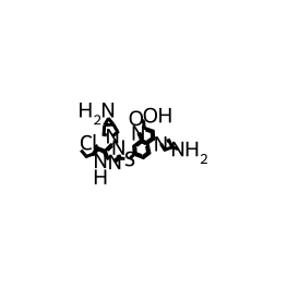 CCc1[nH]c2nc(Sc3ccc4c(N5CC(N)C5)cc(C(=O)O)nc4c3)nc(N3CC4C(N)C4C3)c2c1Cl